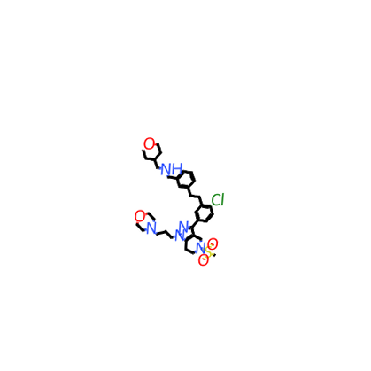 CS(=O)(=O)N1CCc2c(c(-c3ccc(Cl)c(CCc4cccc(CNCC5CCOCC5)c4)c3)nn2CCCN2CCOCC2)C1